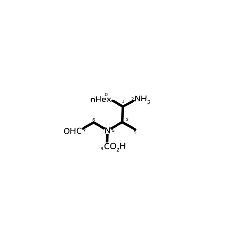 CCCCCCC(N)C(C)N(CC=O)C(=O)O